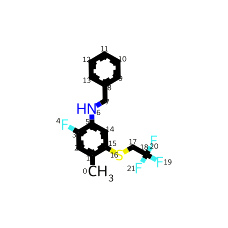 Cc1cc(F)c(NCc2ccccc2)cc1SCC(F)(F)F